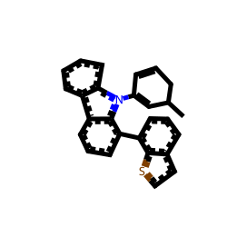 CC1C=C(n2c3ccccc3c3cccc(-c4cccc5ccsc45)c32)C=CC1